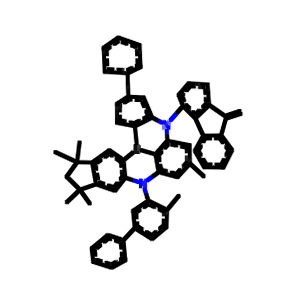 C=C1c2ccccc2-c2c1cccc2N1c2cc(-c3ccccc3)ccc2B2c3cc4c(cc3N(c3cc(-c5ccccc5)ccc3C)c3cc(C)cc1c32)C(C)(C)CC4(C)C